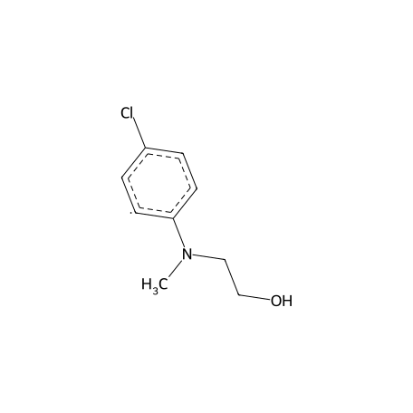 CN(CCO)c1[c]cc(Cl)cc1